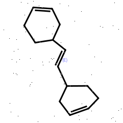 C1=CCC(/C=C/C2CC=CCC2)CC1